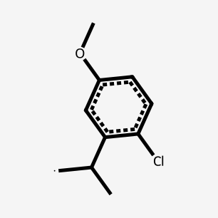 [CH2]C(C)c1cc(OC)ccc1Cl